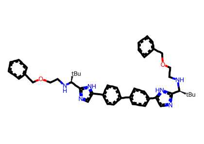 CC(C)(C)[C@H](NCCOCc1ccccc1)c1ncc(-c2ccc(-c3ccc(-c4cnc([C@@H](NCCOCc5ccccc5)C(C)(C)C)[nH]4)cc3)cc2)[nH]1